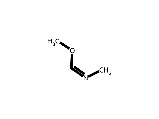 C/N=C\OC